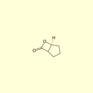 O=C1O[C@H]2CCCC12